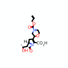 C=CCOC(=O)N1CCOC(C2=C(C(=O)O)N3C(=O)[C@H]([C@@H](C)O)[C@H]3C2)C1